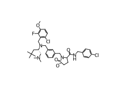 COc1ccc(Cl)c(CN(Cc2cccc(CN3C(C(=O)NCc4ccc(Cl)cc4)CCS3(=O)=O)c2)[C@H](CN(C)C)CC(C)(C)C)c1F